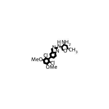 COc1cc(OC)c(Cl)c(-c2ccc3nc(N[C@@H]4CO[C@@H](C)C[C@@H]4N)ncc3c2)c1Cl